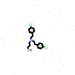 N#CCCCN(CCc1ccc(Cl)cc1)CCc1ccc(Cl)cc1